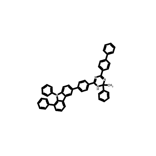 CC1(c2ccccc2)N=C(c2ccc(-c3ccccc3)cc2)N=C(c2ccc(-c3ccc4c(c3)c3cccc(-c5ccccc5)c3n4-c3ccccc3)cc2)N1